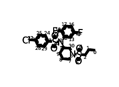 CCCS(=O)(=O)N1CCCC(N(c2cc(F)ccc2F)S(=O)(=O)c2ccc(Cl)cc2)C1